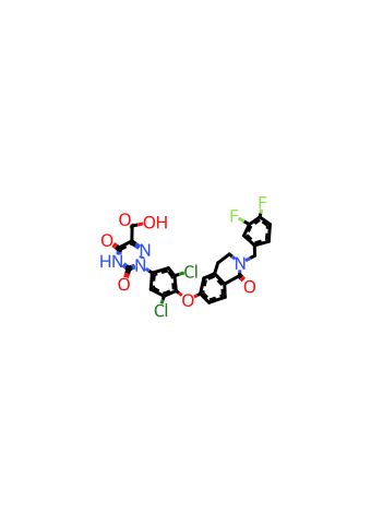 O=C(O)c1nn(-c2cc(Cl)c(Oc3ccc4c(c3)CCN(Cc3ccc(F)c(F)c3)C4=O)c(Cl)c2)c(=O)[nH]c1=O